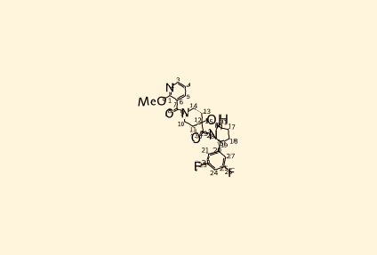 COc1ncccc1C(=O)N1CCC2(CC1)O[C@@H]1CC[C@@H](c3cc(F)cc(F)c3)N1C2=O